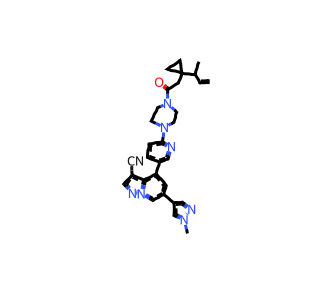 C=CC(C)C1(CC(=O)N2CCN(c3ccc(-c4cc(-c5cnn(C)c5)cn5ncc(C#N)c45)cn3)CC2)CC1